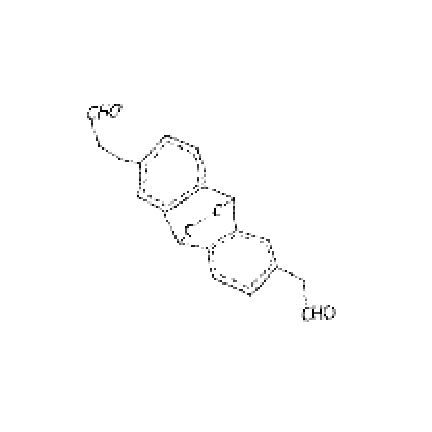 O=CCc1ccc2c(c1)C1CCC2c2cc(CC=O)ccc21